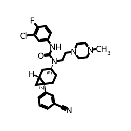 CN1CCN(CCN(C(=O)Nc2ccc(F)c(Cl)c2)[C@@H]2CC[C@]3(c4cccc(C#N)c4)C[C@@H]3C2)CC1